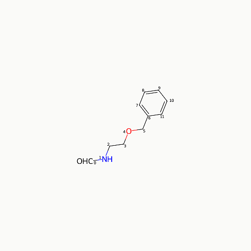 O=CNCCOCc1ccccc1